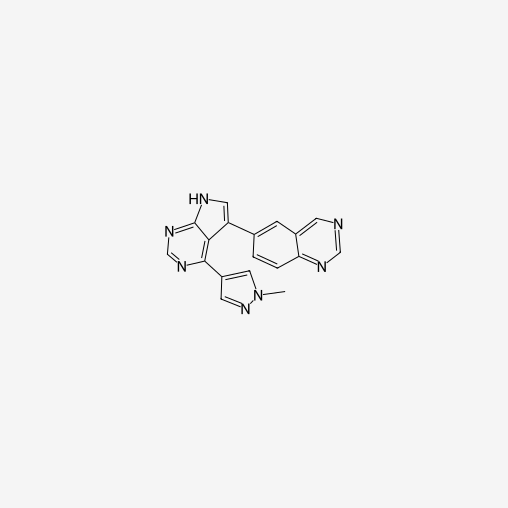 Cn1cc(-c2ncnc3[nH]cc(-c4ccc5ncncc5c4)c23)cn1